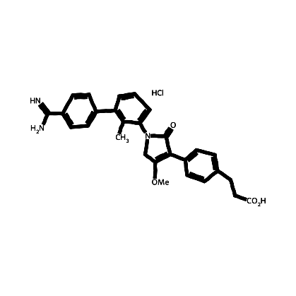 COC1=C(c2ccc(CCC(=O)O)cc2)C(=O)N(c2cccc(-c3ccc(C(=N)N)cc3)c2C)C1.Cl